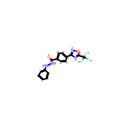 O=C(NNc1ccccc1)c1ccc(-c2noc(C(F)(F)F)n2)cc1